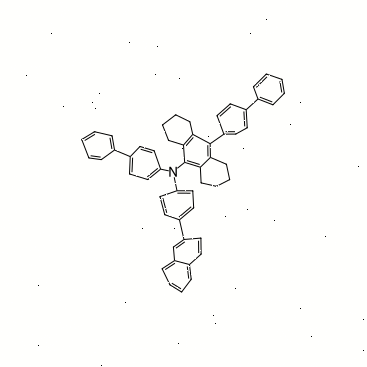 c1ccc(-c2ccc(-c3c4c(c(N(c5ccc(-c6ccccc6)cc5)c5ccc(-c6ccc7ccccc7c6)cc5)c5c3CCCC5)CCCC4)cc2)cc1